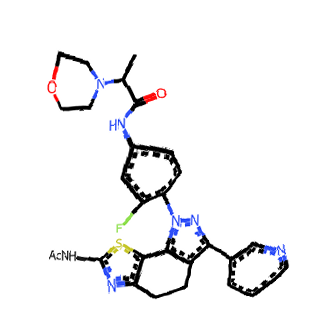 CC(=O)Nc1nc2c(s1)-c1c(c(-c3cccnc3)nn1-c1ccc(NC(=O)C(C)N3CCOCC3)cc1F)CC2